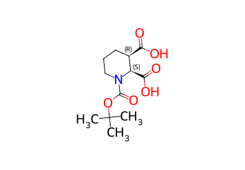 CC(C)(C)OC(=O)N1CCC[C@@H](C(=O)O)[C@H]1C(=O)O